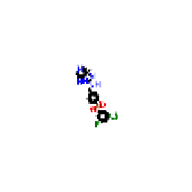 N#CN=C(NCc1ccc(S(=O)(=O)c2cc(F)cc(Cl)c2)cc1)Nc1ccncc1